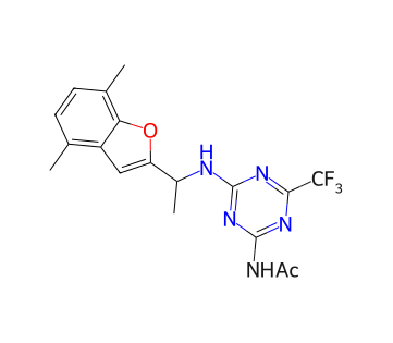 CC(=O)Nc1nc(NC(C)c2cc3c(C)ccc(C)c3o2)nc(C(F)(F)F)n1